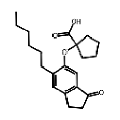 CCCCCCc1cc2c(cc1OC1(C(=O)O)CCCC1)C(=O)CC2